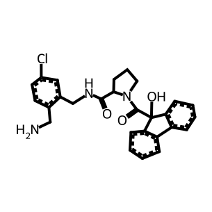 NCc1ccc(Cl)cc1CNC(=O)C1CCCN1C(=O)C1(O)c2ccccc2-c2ccccc21